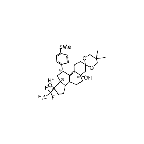 CSc1ccc([C@H]2C[C@@]3(C)C(CC[C@@]3(O)C(F)(F)C(F)(F)F)C3CC[C@@]4(O)CC5(CCC4=C32)OCC(C)(C)CO5)cc1